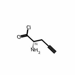 C#CC[C@H](N)C(=O)Cl